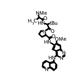 CNC(C)C(=O)NC(C(=O)N1CCCC1C(=O)Nc1cc2c(Nc3cccc4ncccc34)ncnc2cc1OC)C(C)(C)C